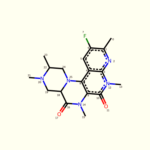 Cc1nc2c(cc1F)c1c(c(=O)n2C)N(C)C(=O)C2CN(C)C(C)CN12